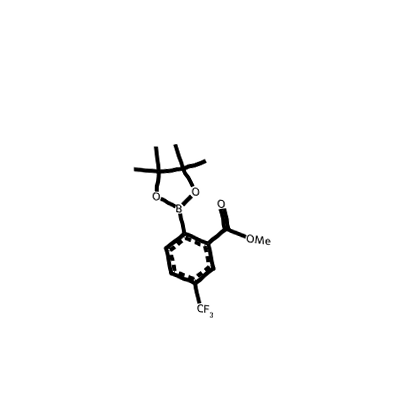 COC(=O)c1cc(C(F)(F)F)ccc1B1OC(C)(C)C(C)(C)O1